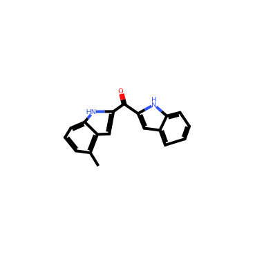 Cc1cccc2[nH]c(C(=O)c3cc4ccccc4[nH]3)cc12